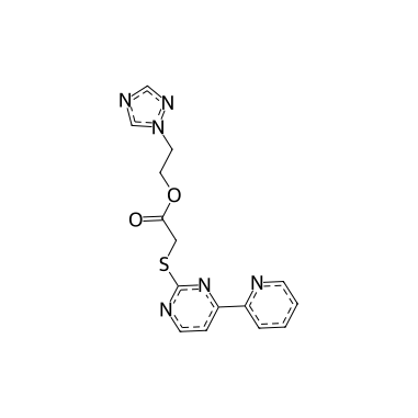 O=C(CSc1nccc(-c2ccccn2)n1)OCCn1cncn1